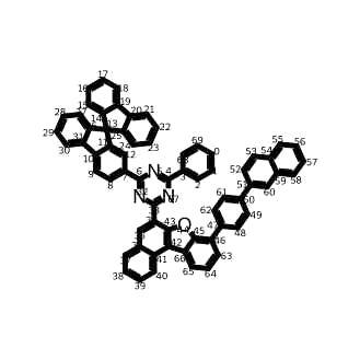 c1ccc(-c2nc(-c3ccc4c(c3)C3(c5ccccc5-c5ccccc53)c3ccccc3-4)nc(-c3cc4ccccc4c4c3oc3c(-c5ccc(-c6ccc7ccccc7c6)cc5)cccc34)n2)cc1